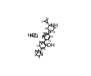 Cl.Cl.Oc1cc(-n2nccn2)cnc1-c1ccc(N2CCN[C@@H](C3CC3)C2)nn1